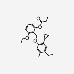 CCOc1cccc(OC(=O)CC)c1COc1cc(C)c(CC)cc1C1CC1